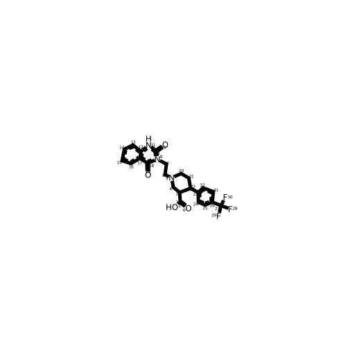 O=C(O)C1CN(CCn2c(=O)[nH]c3ccccc3c2=O)CCC1c1ccc(C(F)(F)F)cc1